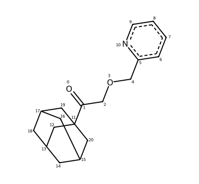 O=C(COCc1ccccn1)C12CC3CC(CC(C3)C1)C2